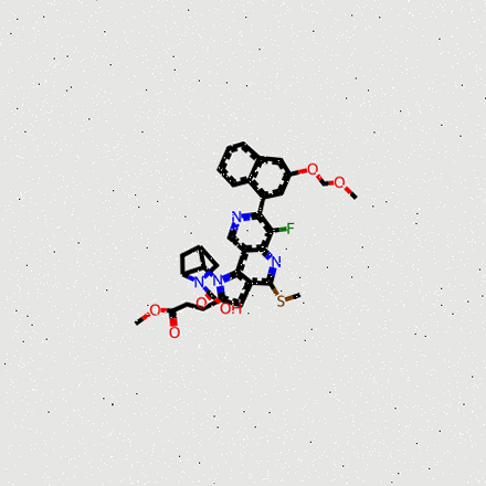 COCOc1cc(-c2ncc3c(nc(SC)c4cc(CCC(=O)OC)n(C5C6CC5N(C(=O)O)C6)c43)c2F)c2ccccc2c1